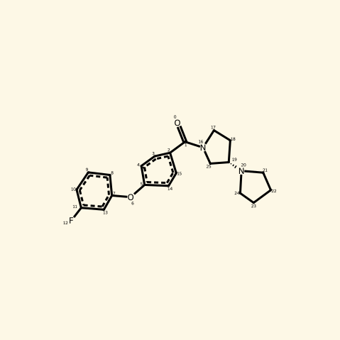 O=C(c1ccc(Oc2cccc(F)c2)cc1)N1CC[C@H](N2CCCC2)C1